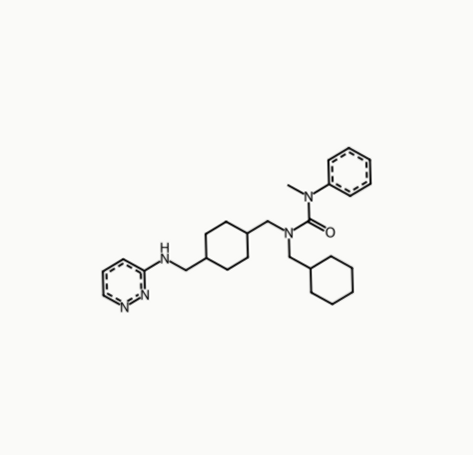 CN(C(=O)N(CC1CCCCC1)CC1CCC(CNc2cccnn2)CC1)c1ccccc1